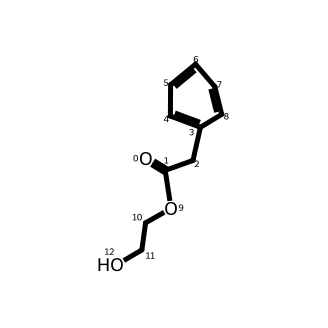 O=C(Cc1ccccc1)OCCO